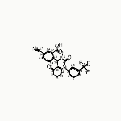 CN1C(=O)N(c2cccc(C(F)(F)F)c2)C2=C(C(=O)CCC2)C1c1ccc(C#N)cc1C(=O)O